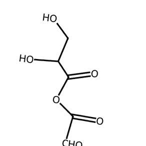 O=CC(=O)OC(=O)C(O)CO